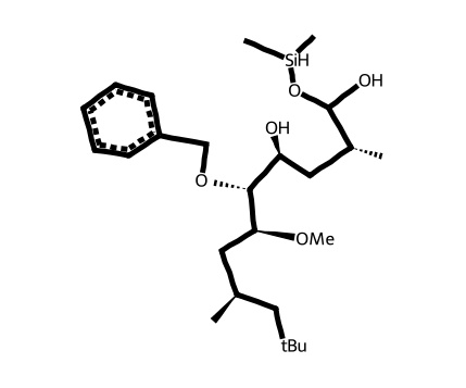 CO[C@@H](C[C@H](C)CC(C)(C)C)[C@H](OCc1ccccc1)[C@@H](O)C[C@@H](C)C(O)O[SiH](C)C